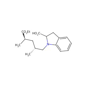 CCOC(=O)[C@H](C)C[C@@H](C)CN1c2ccccc2CC1C(=O)O